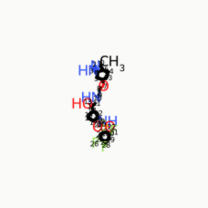 Cc1n[nH]c2cc(OCCNC[C@H](O)c3cccc(NS(=O)(=O)c4cc(F)c(F)cc4F)c3)ccc12